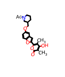 CC(=O)N1CCCC(COc2ccc3oc(-c4oc(=O)c(C)c(O)c4C)cc3c2)C1